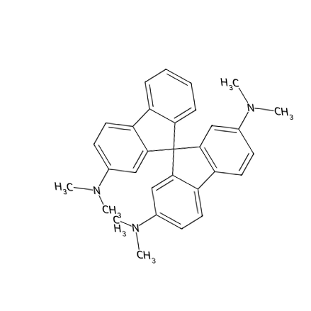 CN(C)c1ccc2c(c1)C1(c3ccccc3-2)c2cc(N(C)C)ccc2-c2ccc(N(C)C)cc21